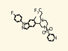 Cc1cc2c(cnn2-c2ccc(F)cc2)cc1C1CN(S(=O)(=O)c2cccnc2)CCN1CCC(F)(F)F